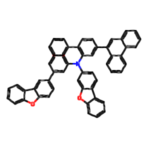 c1ccc(-c2ccc(-c3cc4ccccc4c4ccccc34)cc2N(c2cccc(-c3ccc4oc5ccccc5c4c3)c2)c2ccc3c(c2)oc2ccccc23)cc1